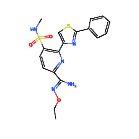 CCO/N=C(\N)c1ccc(S(=O)(=O)NC)c(-c2csc(-c3ccccc3)n2)n1